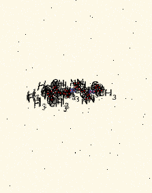 CC(C)(CCC1=CC(=C(C#N)C#N)C=C(/C=C/c2cc3c4c(c2)CCC(CC(C)(C)c2cc5cc(C(C)(C)C)cc6c7cc(C(C)(C)C)cc8cc(C(C)(C)C)cc(c(c2)c56)c87)N4CCC3)O1)C1=CC(C(C#N)C#N)C=C(/C=C/c2cc3c4c(c2)C(C)(C)CCN4CCC3(C)C)O1